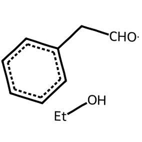 CCO.O=[C]Cc1ccccc1